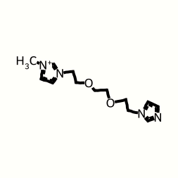 C[n+]1ccn(CCOCCOCCn2ccnc2)c1